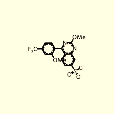 COc1nc(-c2ccc(C(F)(F)F)cc2OC)c2ccc(S(=O)(=O)Cl)cc2n1